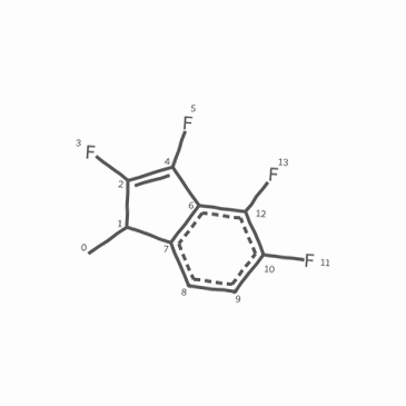 CC1C(F)=C(F)c2c1ccc(F)c2F